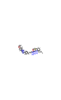 CCCc1cccc(C)c1NC(=S)NC(=O)NCCCCc1ccc(-c2ncn(-c3ccc(OC(F)(F)F)cc3)n2)cc1